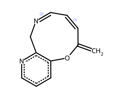 C=C1/C=C\C=N/Cc2ncccc2O1